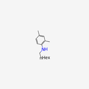 CCCCCCCNc1ccc(C)cc1C